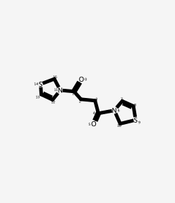 O=C(CCC(=O)N1C=CSC1)N1C=CSC1